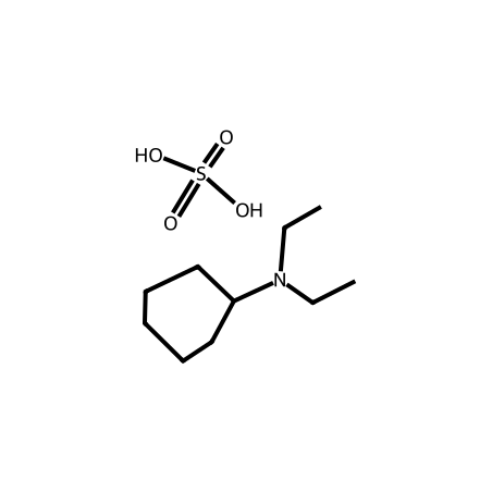 CCN(CC)C1CCCCC1.O=S(=O)(O)O